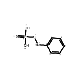 OP(O)(=S)ONc1ccccc1